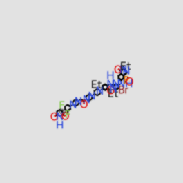 CCOc1cc(N2CCC(N3CCN(C(=O)CN4CCN(C5=CC(F)C([C@H]6CCC(=O)NC6=O)C(F)=C5)CC4)CC3)CC2)c(CC)cc1Nc1ncc(Br)c(Nc2ccc3c(=O)n(CC)ncc3c2P(C)(C)=O)n1